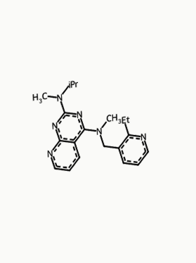 CCc1ncccc1CN(C)c1nc(N(C)C(C)C)nc2ncccc12